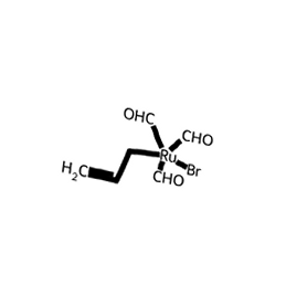 C=C[CH2][Ru]([Br])([CH]=O)([CH]=O)[CH]=O